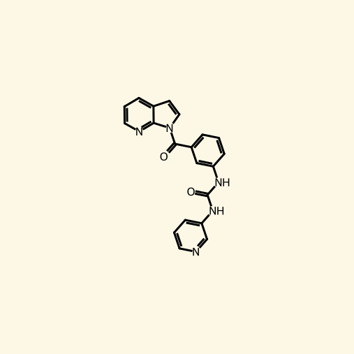 O=C(Nc1cccnc1)Nc1cccc(C(=O)n2ccc3cccnc32)c1